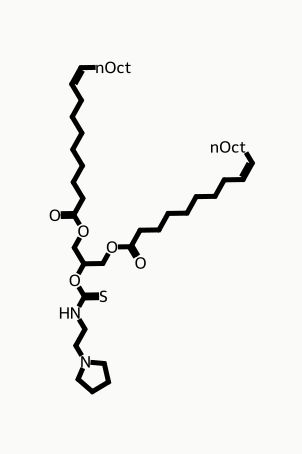 CCCCCCCC/C=C\CCCCCCCC(=O)OCC(COC(=O)CCCCCCC/C=C\CCCCCCCC)OC(=S)NCCN1CCCC1